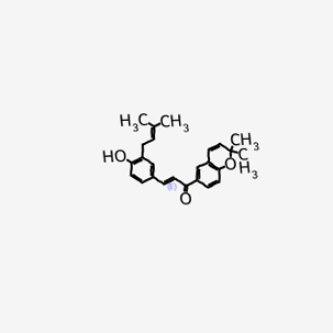 CC(C)=CCc1cc(/C=C/C(=O)c2ccc3c(c2)C=CC(C)(C)O3)ccc1O